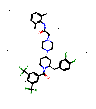 Cc1cccc(C)c1NC(=O)CN1CCN([C@H]2CCN(C(=O)c3cc(C(F)(F)F)cc(C(F)(F)F)c3)[C@H](Cc3ccc(Cl)c(Cl)c3)C2)CC1